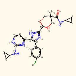 CC1(C(=O)NC2CC2)COC(c2nc(-c3ccc(F)cc3)c(-c3ccnc(NC4CC4)n3)[nH]2)OC1